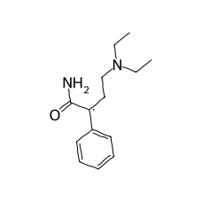 CCN(CC)CC[C](C(N)=O)c1ccccc1